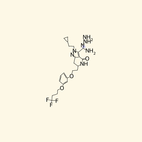 NN/N=C(\N)c1c2c(nn1CCC1CC1)CC(CCOc1cccc(OCCCC(F)(F)F)c1)NC2=O